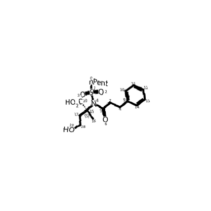 CCCCCS(=O)(=O)N(C(=O)CCc1ccccc1)[C@@](C)(CCO)C(=O)O